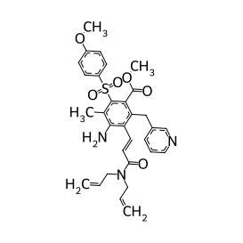 C=CCN(CC=C)C(=O)C=Cc1c(N)c(C)c(S(=O)(=O)c2ccc(OC)cc2)c(C(=O)OC)c1Cc1cccnc1